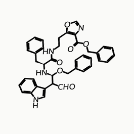 O=CC(c1c[nH]c2ccccc12)[C@@H](N[C@@H](Cc1ccccc1)C(=O)NCCc1ocnc1C(=O)OCc1ccccc1)OCc1ccccc1